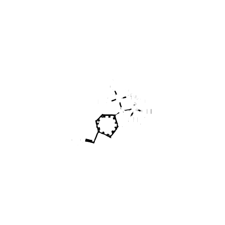 C=Cc1ccc(N([Si](C)(C)C(C)(C)C)[Si](C)(C)C(C)(C)C)cc1